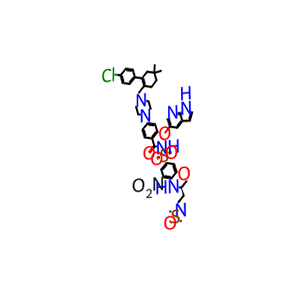 CC1(C)CCC(CN2CCN(c3ccc(C(=O)NS(=O)(=O)c4cc5c(c([N+](=O)[O-])c4)N[C@H](CCN=S(C)(C)=O)CO5)c(Oc4cnc5[nH]ccc5c4)c3)CC2)=C(c2ccc(Cl)cc2)C1